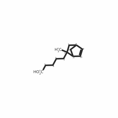 CC1(CCCCC(=O)O)CC2C=CC1C2